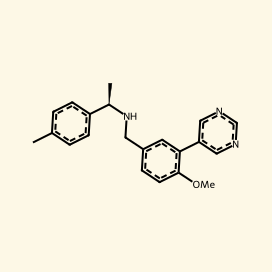 COc1ccc(CN[C@H](C)c2ccc(C)cc2)cc1-c1cncnc1